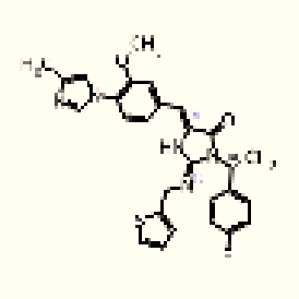 COc1cc(/C=C2\N/C(=N\Cc3cccs3)N([C@H](C)c3ccc(F)cc3)C2=O)ccc1-n1cnc(C)c1